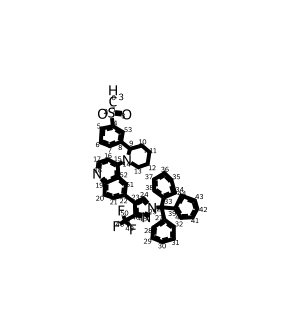 CS(=O)(=O)c1cccc(C2C[CH]CCN2c2ccnc3ccc(-c4cn(C(c5ccccc5)(c5ccccc5)c5ccccc5)nc4C(F)(F)F)cc23)c1